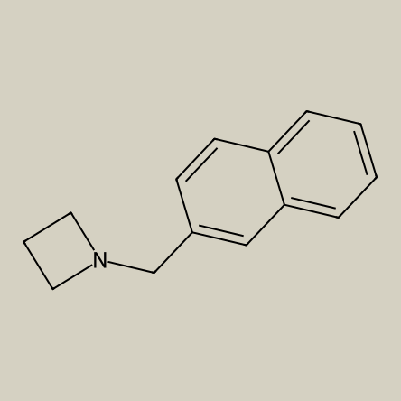 c1ccc2cc(CN3CCC3)ccc2c1